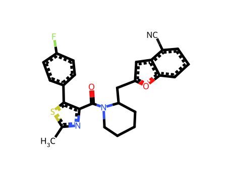 Cc1nc(C(=O)N2CCCCC2Cc2cc3c(C#N)cccc3o2)c(-c2ccc(F)cc2)s1